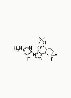 CC(C)(C)OC(=O)N1CCC(F)(F)CC1c1ncn(-c2ncc(N)cc2F)n1